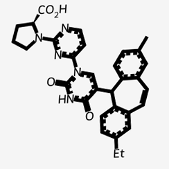 CCc1ccc2c(c1)C=Cc1cc(C)ccc1C2c1cn(-c2ccnc(N3CCC[C@H]3C(=O)O)n2)c(=O)[nH]c1=O